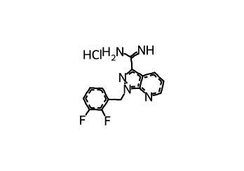 Cl.N=C(N)c1nn(Cc2cccc(F)c2F)c2ncccc12